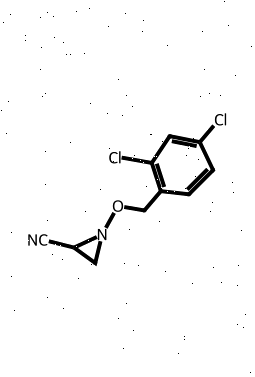 N#CC1CN1OCc1ccc(Cl)cc1Cl